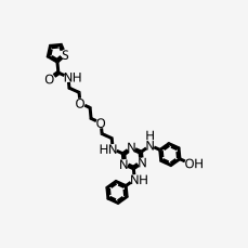 O=C(NCCOCCOCCNc1nc(Nc2ccccc2)nc(Nc2ccc(O)cc2)n1)c1cccs1